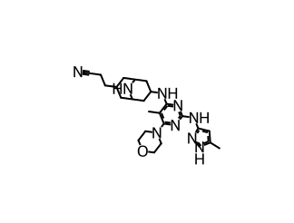 Cc1cc(Nc2nc(NC3CC4CC(CCC#N)CC(C3)N4)c(C)c(N3CCOCC3)n2)n[nH]1